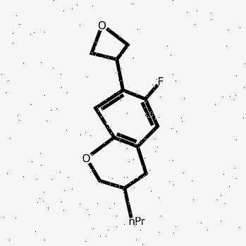 CCCC1COc2cc(C3COC3)c(F)cc2C1